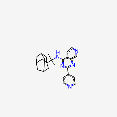 CC(C)(Nc1nc(-c2ccncc2)nc2cnccc12)C12CC3CC(CC(C3)C1)C2